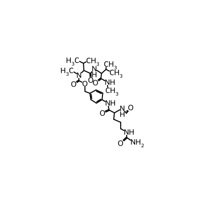 CNC(=O)C(NC(=O)C(C(C)C)N(C)C(=O)OCc1ccc(NC(=O)C(CCCNC(N)=O)NC=O)cc1)C(C)C